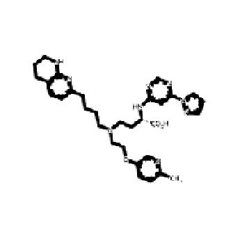 Cc1ccc(OCCN(CCCCc2ccc3c(n2)NCCC3)CC[C@H](Nc2cc(-n3cccn3)ncn2)C(=O)O)cn1